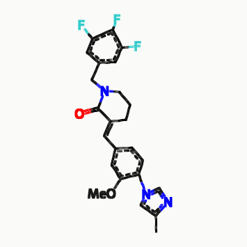 COc1cc(C=C2CCCN(Cc3cc(F)c(F)c(F)c3)C2=O)ccc1-n1cnc(C)c1